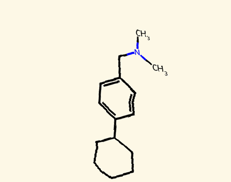 CN(C)Cc1ccc(C2CCCCC2)cc1